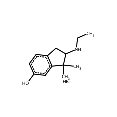 Br.CCNC1Cc2ccc(O)cc2C1(C)C